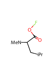 CNC(CC(C)C)C(=O)OF